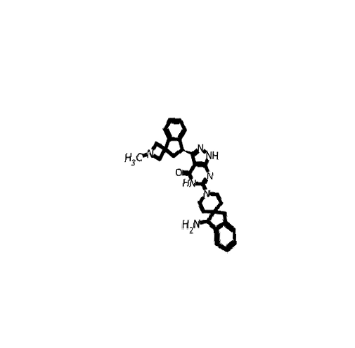 CN1CC2(C[C@H](c3n[nH]c4nc(N5CCC6(CC5)Cc5ccccc5C6N)[nH]c(=O)c34)c3ccccc32)C1